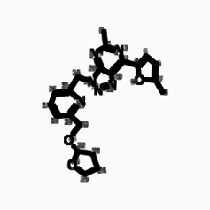 Cc1nc(-c2ccc(C)o2)c2nnn(Cc3cccc(CO[C@H]4CCCO4)n3)c2n1